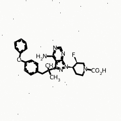 CC(C)(Cc1ccc(Oc2ccccc2)cc1)c1nn([C@@H]2CCN(C(=O)O)C[C@@H]2F)c2ncnc(N)c12